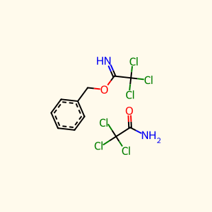 N=C(OCc1ccccc1)C(Cl)(Cl)Cl.NC(=O)C(Cl)(Cl)Cl